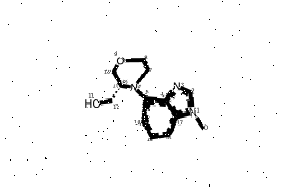 Cn1cnc2c(N3CCOC[C@H]3CO)cccc21